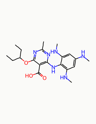 CCC(CC)Oc1nc(C)nc(Nc2c(NC)cc(NC)cc2NC)c1C(=O)O